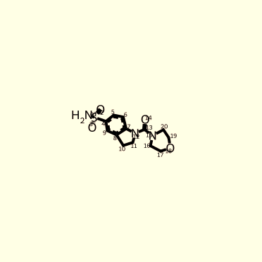 NS(=O)(=O)c1ccc2c(c1)CCN2C(=O)N1CCOCC1